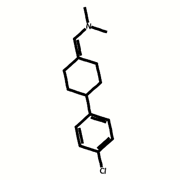 CN(C)C=C1CCC(c2ccc(Cl)cc2)CC1